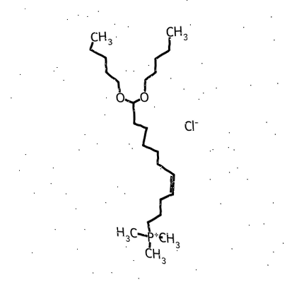 CCCCCOC(CCCCC/C=C\CCC[P+](C)(C)C)OCCCCC.[Cl-]